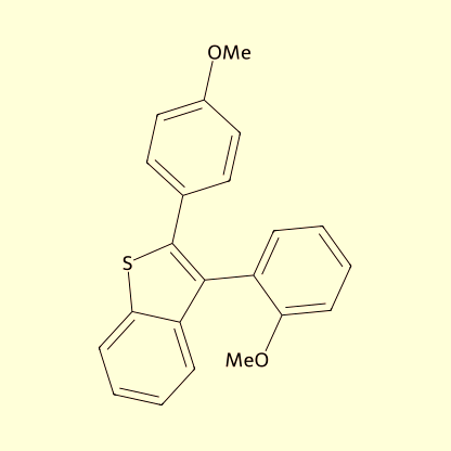 COc1ccc(-c2sc3ccccc3c2-c2ccccc2OC)cc1